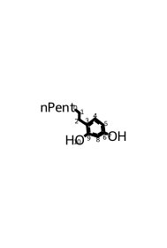 CCCCCCCc1ccc(O)cc1O